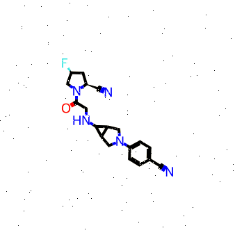 N#Cc1ccc(N2CC3C(C2)C3NCC(=O)N2C[C@@H](F)C[C@H]2C#N)cc1